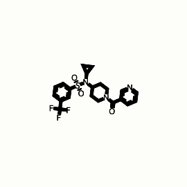 O=C(c1cccnc1)N1CCC(N(C2CC2)S(=O)(=O)c2cccc(C(F)(F)F)c2)CC1